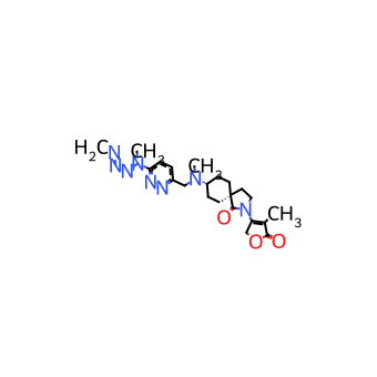 C=N/N=N\N(C)c1ccc(CN(C)[C@H]2CC[C@@]3(CCN(C4=C(C)C(=O)OC4)C3=O)CC2)nn1